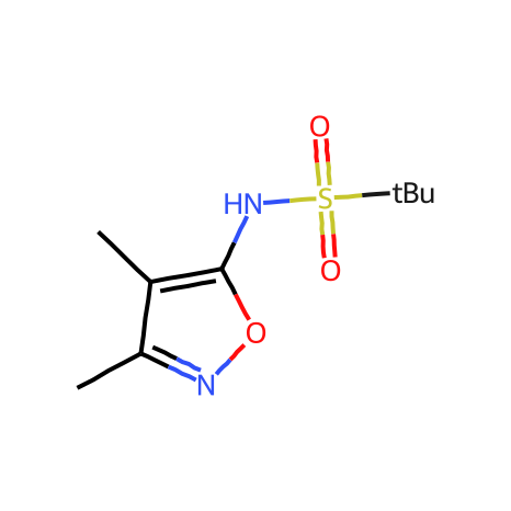 Cc1noc(NS(=O)(=O)C(C)(C)C)c1C